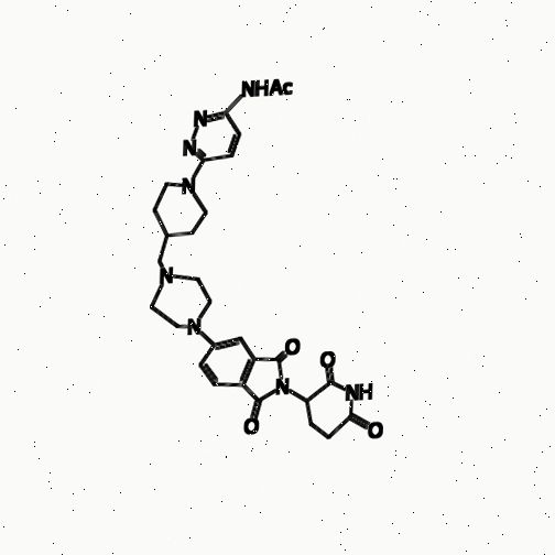 CC(=O)Nc1ccc(N2CCC(CN3CCN(c4ccc5c(c4)C(=O)N(C4CCC(=O)NC4=O)C5=O)CC3)CC2)nn1